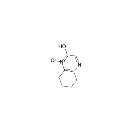 [O-][n+]1c(O)cnc2c1CCCC2